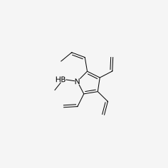 C=Cc1c(C=C)c(/C=C\C)n(BC)c1C=C